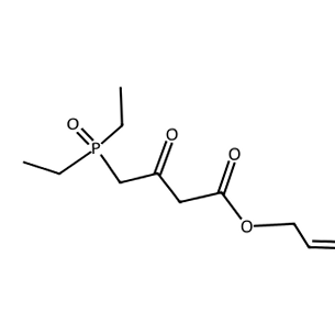 C=CCOC(=O)CC(=O)CP(=O)(CC)CC